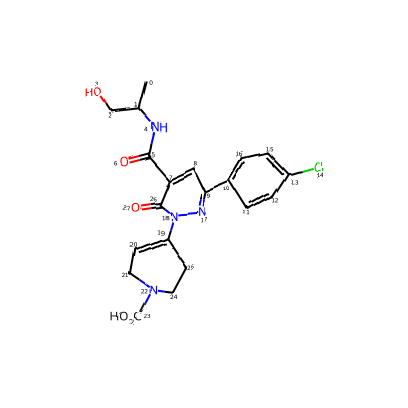 CC(CO)NC(=O)c1cc(-c2ccc(Cl)cc2)nn(C2=CCN(C(=O)O)CC2)c1=O